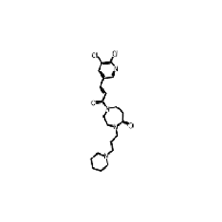 O=C(C=Cc1cnc(Cl)c(Cl)c1)N1CCC(=O)N(CCCN2CCCCC2)CC1